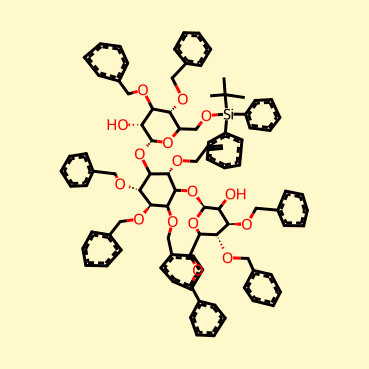 C=CCO[C@@H]1C(O[C@@H]2OC(COCc3ccccc3)[C@@H](OCc3ccccc3)[C@H](OCc3ccccc3)C2O)C(OCc2ccccc2)[C@@H](OCc2ccccc2)[C@H](OCc2ccccc2)C1O[C@H]1OC(CO[Si](c2ccccc2)(c2ccccc2)C(C)(C)C)[C@@H](OCc2ccccc2)C(OCc2ccccc2)[C@H]1O